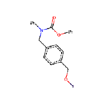 CC(C)OC(=O)N(Cc1ccc(COI)cc1)C(C)C